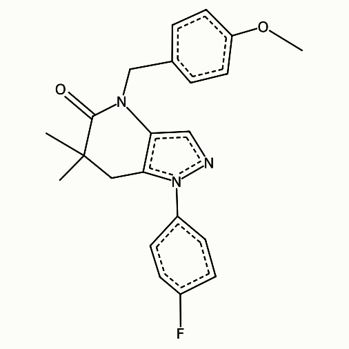 COc1ccc(CN2C(=O)C(C)(C)Cc3c2cnn3-c2ccc(F)cc2)cc1